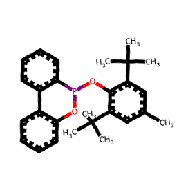 Cc1cc(C(C)(C)C)c(OP2Oc3ccccc3-c3ccccc32)c(C(C)(C)C)c1